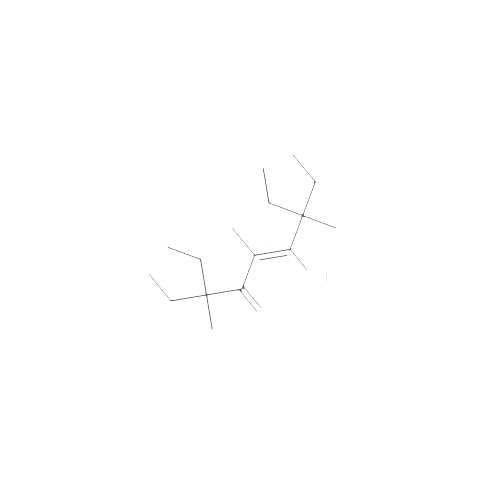 CCC(C)(CC)C(=O)/C(C)=C(\O)C(C)(CC)CC